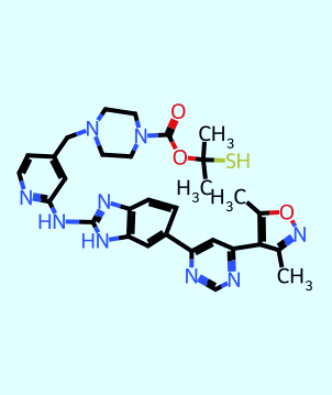 Cc1noc(C)c1-c1cc(-c2ccc3nc(Nc4cc(CN5CCN(C(=O)OC(C)(C)S)CC5)ccn4)[nH]c3c2)ncn1